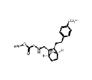 CCCOC(=O)NNC[C@H]1[C@@H](CCc2ccc(C(=O)O)cc2)[C@H]2CC[C@@H]1O2